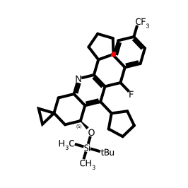 CC(C)(C)[Si](C)(C)O[C@H]1CC2(CC2)Cc2nc(C3CCCC3)c(C(F)c3ccc(C(F)(F)F)cc3)c(C3CCCC3)c21